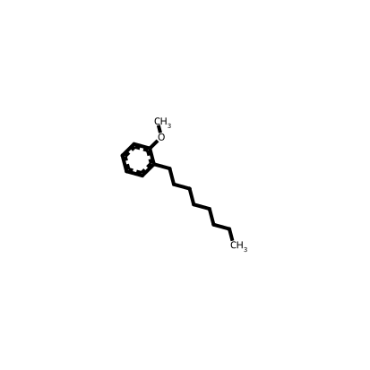 CCCCCCCCc1ccccc1OC